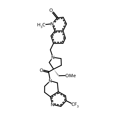 COC[C@@]1(C(=O)N2CCc3ncc(C(F)(F)F)cc3C2)CCN(Cc2ccc3ccc(=O)n(C)c3c2)C1